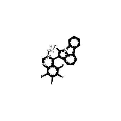 Cc1c(-c2c3c(F)c(F)c(F)c(F)c3nc[n+]2C)c2cccc3c4ccccc4n1c23